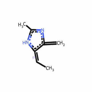 C=c1nc(C)[nH]/c1=C/C